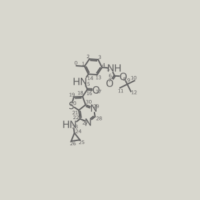 Cc1ccc(NC(=O)OC(C)(C)C)cc1NC(=O)c1csc2c(NC3CC3)ncnc12